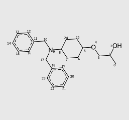 CC(O)COC1CCC(N(Cc2ccccc2)Cc2ccccc2)CC1